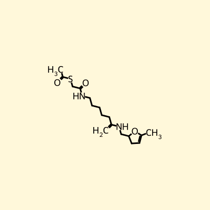 C=C(CCCCCNC(=O)CSC(C)=O)NCC1CC=C(C)O1